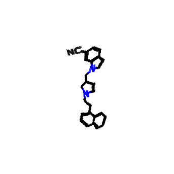 N#Cc1ccc2ccn(CC3CCN(CCc4cccc5ccccc45)C3)c2c1